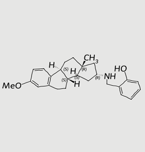 COc1ccc2c(c1)CC[C@@H]1[C@@H]2CC[C@]2(C)C[C@H](NCc3ccccc3O)C[C@@H]12